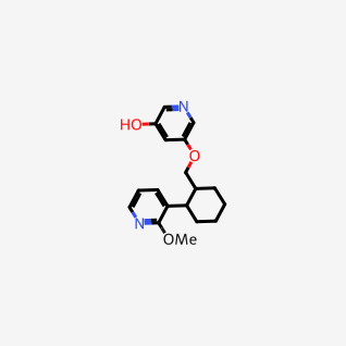 COc1ncccc1C1CCCCC1COc1cncc(O)c1